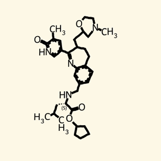 Cc1cc(C2=Nc3cc(CN[C@@H](CC(C)C)C(=O)OC4CCCC4)ccc3CCC2CC2CN(C)CCO2)c[nH]c1=O